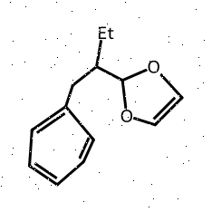 [CH2]CC(Cc1ccccc1)C1OC=CO1